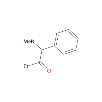 CCC(=O)C(NC)c1ccccc1